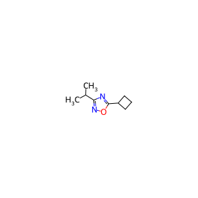 CC(C)c1noc(C2CCC2)n1